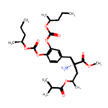 CCCC(C)OC(=O)Oc1cc(C[C@](N)(CC(C)OC(=O)C(C)C)C(=O)OC)ccc1OC(=O)O[C@@H](C)CCC